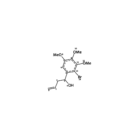 C=CCC(O)c1cc(OC)c(OC)c(OC)c1Br